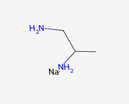 CC(N)CN.[Na]